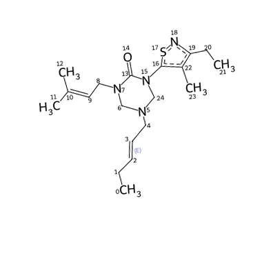 CC/C=C/CN1CN(CC=C(C)C)C(=O)N(c2snc(CC)c2C)C1